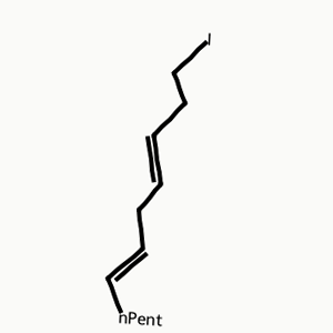 CCCCCC=CCC=CCCI